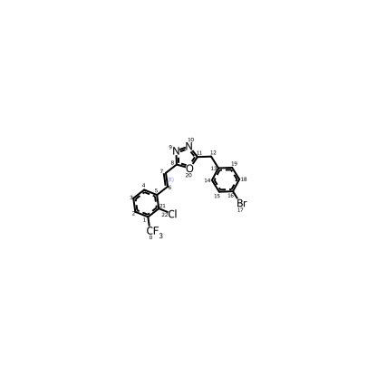 FC(F)(F)c1cccc(/C=C/c2nnc(Cc3ccc(Br)cc3)o2)c1Cl